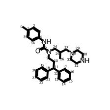 Cc1ccc(NC(=O)N(CCC(c2ccccc2)c2ccccc2)CC(C)CN2CCNCC2)cc1